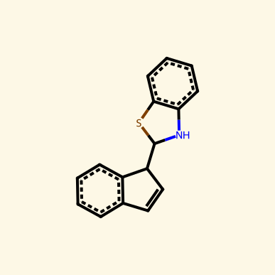 C1=CC(C2Nc3ccccc3S2)c2ccccc21